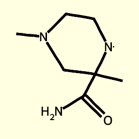 CN1CC[N]C(C)(C(N)=O)C1